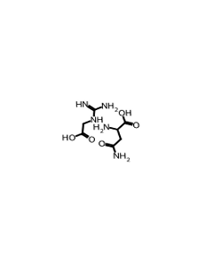 N=C(N)NCC(=O)O.NC(=O)CC(N)C(=O)O